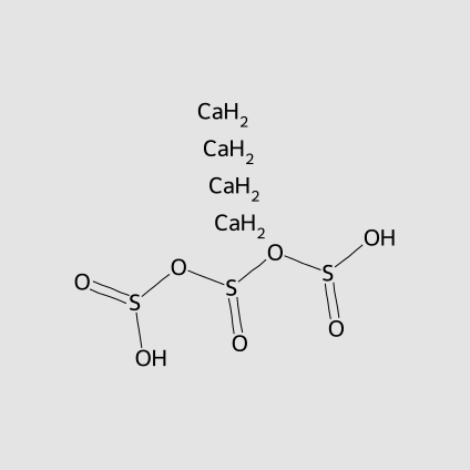 O=S(O)OS(=O)OS(=O)O.[CaH2].[CaH2].[CaH2].[CaH2]